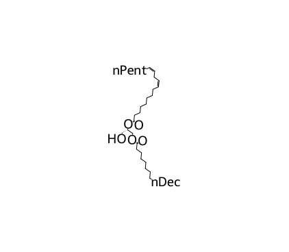 CCCCC/C=C\C/C=C\CCCCCCCC(=O)O[C@@H](CO)COC(=O)CCCCCCCCCCCCCCCCC